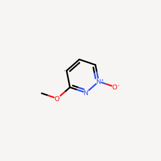 COc1[c]cc[n+]([O-])n1